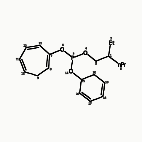 CCCC(CC)COP(OC1=CCC=CC=C1)OC1C=CC=CC1